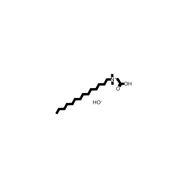 CCCCCCCCCCCCCC[N+](C)(C)CC(=O)O.[OH-]